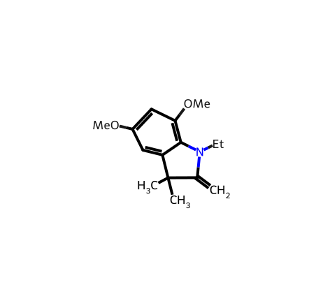 C=C1N(CC)c2c(OC)cc(OC)cc2C1(C)C